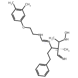 Cc1ccc(OCCN/C=N/C(CCc2ccccc2)[C@](C)(C=N)C(C)NO)cc1C